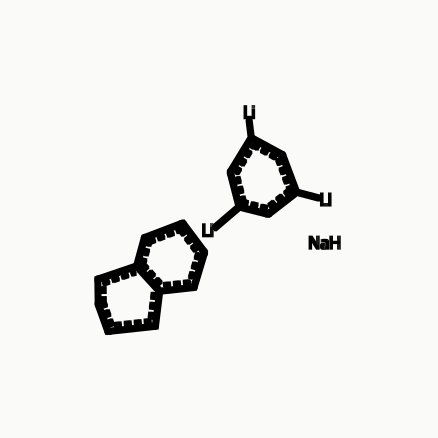 [Li][c]1c[c]([Li])c[c]([Li])c1.[NaH].c1ccc2ccccc2c1